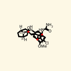 COc1cc(C=CC(=O)N2[C@@H]3CC[C@H]2C[C@@H](Nc2ccc(F)cc2)C3)c(NC(N)=O)cc1Cl